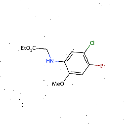 CCOC(=O)CNc1cc(Cl)c(Br)cc1OC